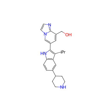 CC(C)c1c(-c2cc(CO)c3nccn3c2)[nH]c2ccc(C3CCNCC3)cc12